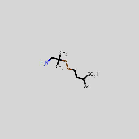 CC(=O)C(CCSSC(C)(C)CN)S(=O)(=O)O